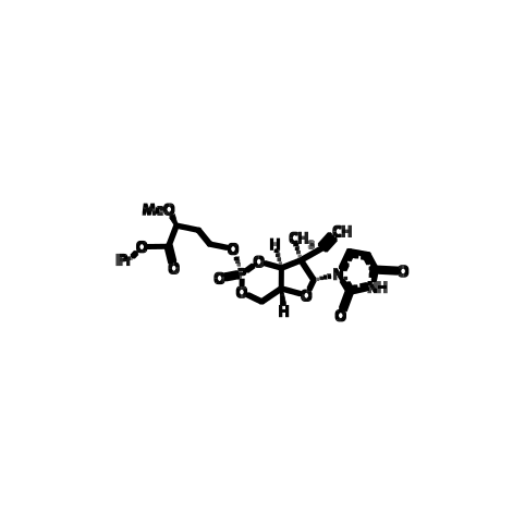 C#C[C@]1(C)[C@@H]2O[P@@](=O)(OCC[C@H](OC)C(=O)OC(C)C)OC[C@H]2O[C@H]1n1ccc(=O)[nH]c1=O